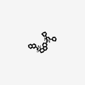 c1ccc(-c2cc(-c3ccccc3)nc(-c3ccc4c(ccc5ccc6sc(-c7ccc8ccccc8c7)nc6c54)c3)n2)cc1